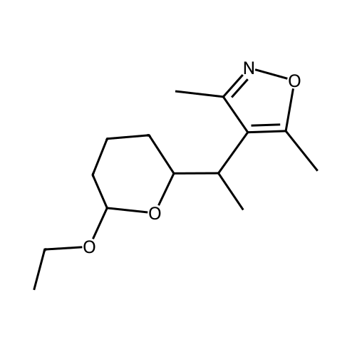 CCOC1CCCC(C(C)c2c(C)noc2C)O1